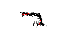 CCCCC(C)(Oc1ccc(/C=N/N(C)[PH](=S)C(C)(CCC)Oc2ccc(/C=N/N(C)[PH](=S)C(C)Oc3ccc(/C=N/N(C)P(=S)(Cl)Cl)cc3)cc2)cc1)P(N)P(N)PN